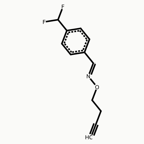 C#CCCON=[C]c1ccc(C(F)F)cc1